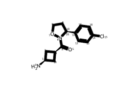 N[C@H]1C[C@@H](C(=O)N2OCC[C@H]2c2ccc(Cl)cc2)C1